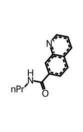 CCCNC(=O)c1ccc2cccnc2c1